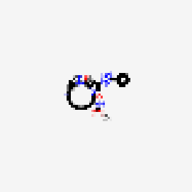 CC(C)(C)OC(=O)N[C@@H]1CCCCC/C=C\[C@@H]2C[C@]2(C(=O)O)NC(=O)[C@@H]2C[C@H](n3nnc(-c4ccccc4)n3)CN2C1=O